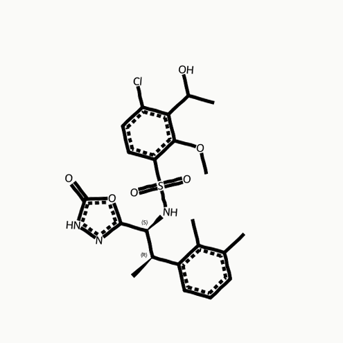 COc1c(S(=O)(=O)N[C@H](c2n[nH]c(=O)o2)[C@H](C)c2cccc(C)c2C)ccc(Cl)c1C(C)O